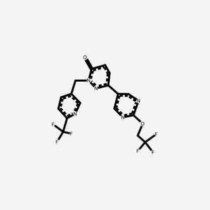 O=c1ccc(-c2cnc(OCC(F)(F)F)nc2)nn1Cc1ccc(C(F)(F)F)nc1